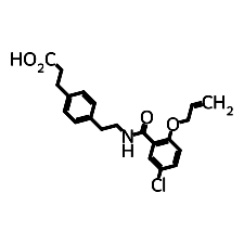 C=CCOc1ccc(Cl)cc1C(=O)NCCc1ccc(CCC(=O)O)cc1